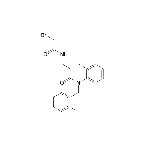 Cc1ccccc1CN(C(=O)CCNC(=O)CBr)c1ccccc1C